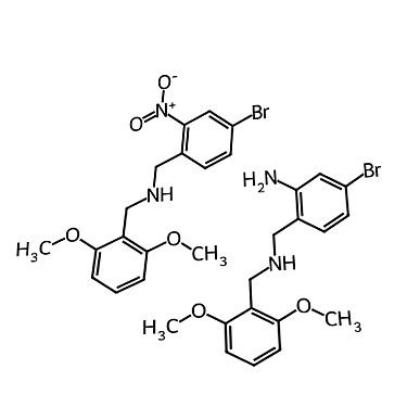 COc1cccc(OC)c1CNCc1ccc(Br)cc1N.COc1cccc(OC)c1CNCc1ccc(Br)cc1[N+](=O)[O-]